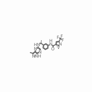 Cc1n[nH]c2ncc(N[C@@H](C)c3cccc(NC(=O)c4cc(C(F)(F)F)nn4C)c3)nc12